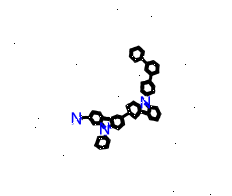 N#Cc1ccc2c3cc(-c4ccc5c(c4)c4ccccc4n5-c4ccc(-c5cccc(-c6ccccc6)c5)cc4)ccc3n(-c3ccccc3)c2c1